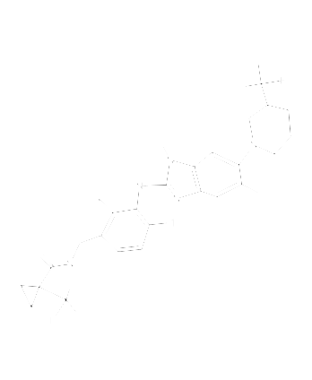 Cn1c(Nc2c(Cl)ccc(CNC(=O)C3(C(F)(F)F)CC3)c2Cl)nc2cc(Cl)c(N3CCCC(C(F)(F)F)C3)cc21